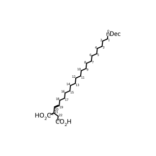 CCCCCCCCCCCCCCCCCCCCCCCCCCCC/C=C/C(CC(=O)O)C(=O)O